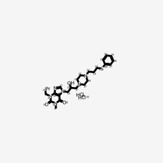 CC(C)Cn1c(=O)n(C)c(=O)c2c1ncn2CC(O)CN1CCN(CCCSc2ccccc2)CC1.Cl.Cl